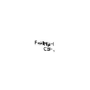 [AlH3].[CaH2].[Fe].[NaH]